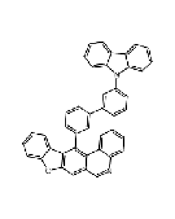 c1cc(-c2cccc(-n3c4ccccc4c4ccccc43)c2)cc(-c2c3c(cnc4ccccc43)cc3oc4ccccc4c23)c1